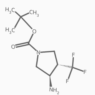 CC(C)(C)OC(=O)N1C[C@H](N)[C@@H](C(F)(F)F)C1